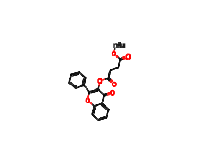 CCCCOC(=O)CCC(=O)Oc1c(-c2ccccc2)oc2ccccc2c1=O